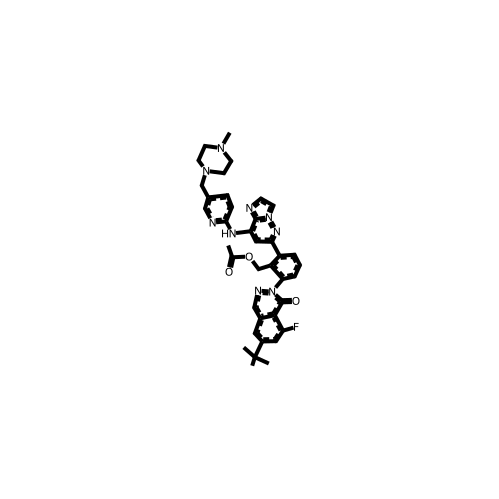 CC(=O)OCc1c(-c2cc(Nc3ccc(CN4CCN(C)CC4)cn3)c3nccn3n2)cccc1-n1ncc2cc(C(C)(C)C)cc(F)c2c1=O